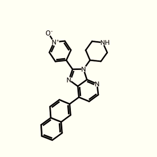 [O-][n+]1ccc(-c2nc3c(-c4ccc5ccccc5c4)ccnc3n2C2CCNCC2)cc1